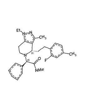 CCn1nc(C)c2c1CCN([C@@H](C(=O)NC)c1ccccc1)[C@H]2CCc1ccc(C)cc1F